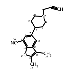 C#CCN1CCC(c2cc(C#N)c3oc(C)c(C)c3c2)CC1